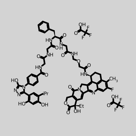 CC[C@@]1(O)C(=O)OCc2c1cc1n(c2=O)Cc2c-1nc1cc(F)c(C)c3c1c2[C@@H](NC(=O)COCNC(=O)CNC(=O)[C@H](Cc1ccccc1)NC(=O)CNC(=O)CNC(=O)c1ccc(-n2c(O)nnc2-c2cc(C(C)C)c(O)cc2O)cc1)CC3.O=C(O)C(F)(F)F.O=C(O)C(F)(F)F